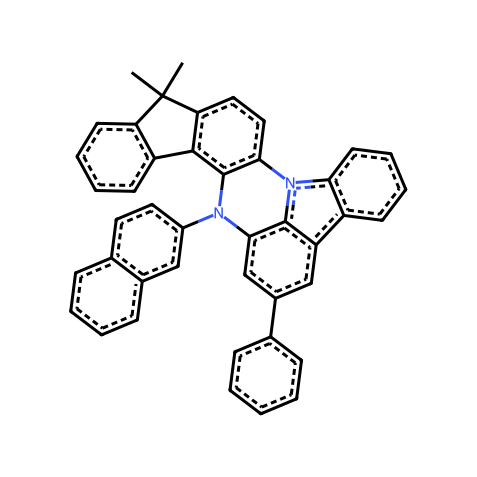 CC1(C)c2ccccc2-c2c1ccc1c2N(c2ccc3ccccc3c2)c2cc(-c3ccccc3)cc3c4ccccc4n-1c23